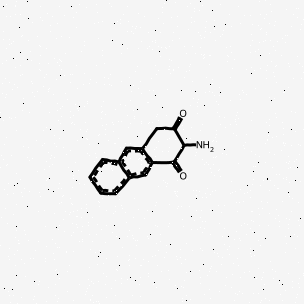 NC1C(=O)Cc2cc3ccccc3cc2C1=O